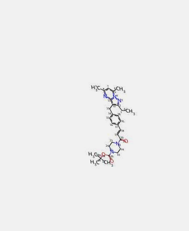 CCc1nn2c(C)cc(C)nc2c1Cc1ccc(C=CC(=O)N2CCN(C(=O)OC(C)(C)C)CC2)cc1